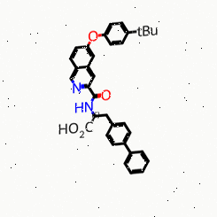 CC(C)(C)c1ccc(Oc2ccc3cnc(C(=O)N[C@@H](Cc4ccc(-c5ccccc5)cc4)C(=O)O)cc3c2)cc1